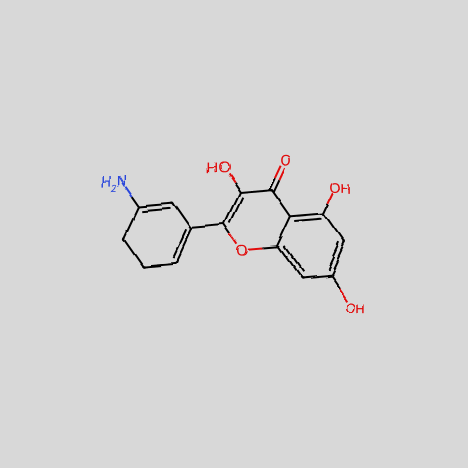 NC1=CC(c2oc3cc(O)cc(O)c3c(=O)c2O)=CCC1